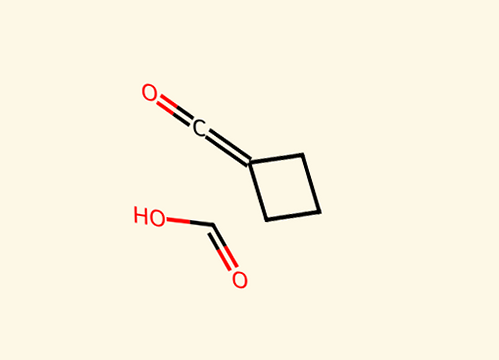 O=C=C1CCC1.O=CO